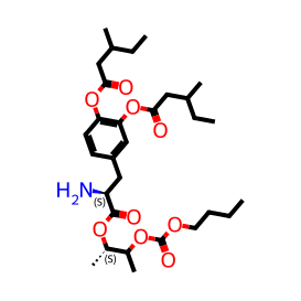 CCCCOC(=O)OC(C)[C@H](C)OC(=O)[C@@H](N)Cc1ccc(OC(=O)CC(C)CC)c(OC(=O)CC(C)CC)c1